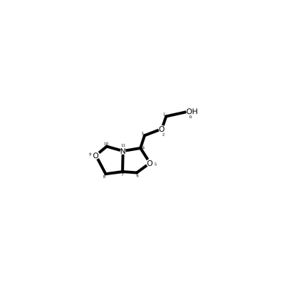 OCOCC1OCC2COCN21